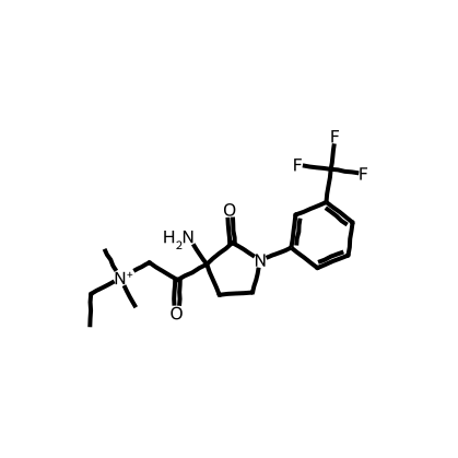 CC[N+](C)(C)CC(=O)C1(N)CCN(c2cccc(C(F)(F)F)c2)C1=O